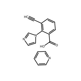 C#Cc1cccc(C(=O)O)c1-n1ccnc1.c1ccncc1